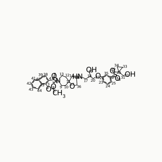 CCOc1c(S(=O)(=O)N2CCC3(CC2)CC(NCC(O)COc2cccc(S(=O)(=O)C4(CO)CC4)c2)CO3)ccc2ccccc12